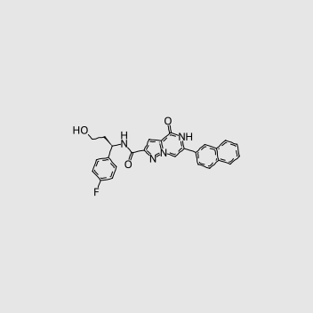 O=C(N[C@H](CCO)c1ccc(F)cc1)c1cc2c(=O)[nH]c(-c3ccc4ccccc4c3)cn2n1